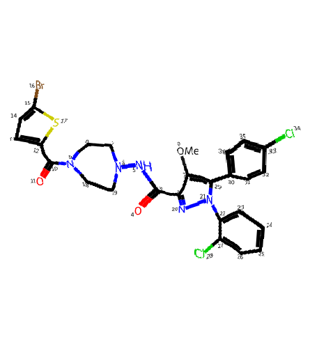 COc1c(C(=O)NN2CCN(C(=O)c3ccc(Br)s3)CC2)nn(-c2ccccc2Cl)c1-c1ccc(Cl)cc1